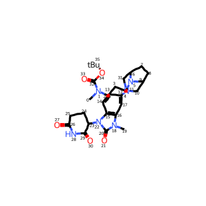 CN(CCCN1C2CCC1CN(c1ccc3c(c1)n(C)c(=O)n3C1CCC(=O)NC1=O)C2)C(=O)OC(C)(C)C